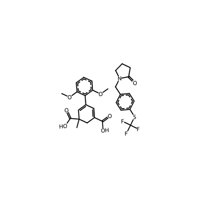 COc1cccc(OC)c1C1=CC(C)(C(=O)O)CC(C(=O)O)=C1.O=C1CCCN1Cc1ccc(SC(F)(F)F)cc1